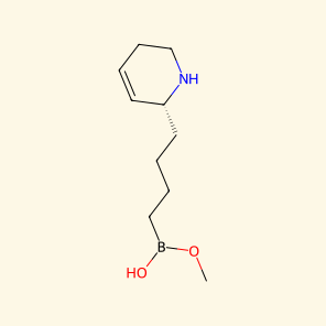 COB(O)CCCC[C@@H]1C=CCCN1